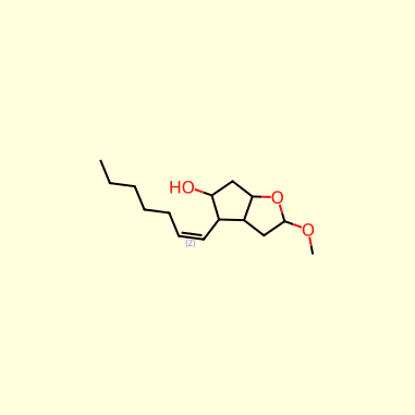 CCCCC/C=C\C1C(O)CC2OC(OC)CC21